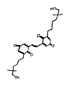 CC(C)(CO)CCCCC1=CC(=O)C=C(C=CC2=CC(=O)C=C(CCCCC(C)(C)CO)C2=O)C1=O